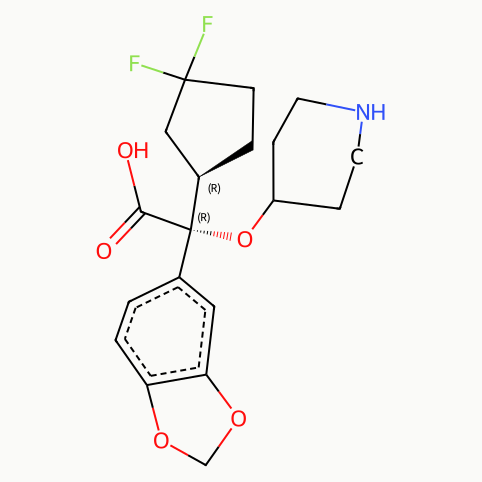 O=C(O)[C@](OC1CCNCC1)(c1ccc2c(c1)OCO2)[C@@H]1CCC(F)(F)C1